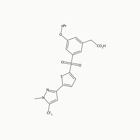 CCCOc1cc(CC(=O)O)cc(S(=O)(=O)c2ccc(-c3cc(C(F)(F)F)n(C)n3)s2)c1